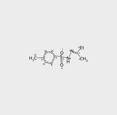 CCC(C)=NNS(=O)(=O)c1ccc(C)cc1